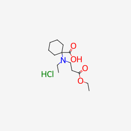 CCOC(=O)CCN(CC)C1(C(=O)O)CCCCC1.Cl